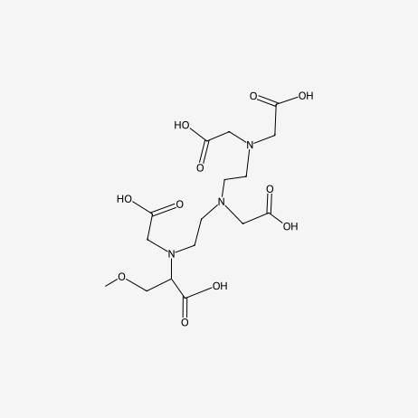 COCC(C(=O)O)N(CCN(CCN(CC(=O)O)CC(=O)O)CC(=O)O)CC(=O)O